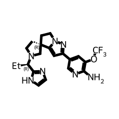 CC[C@H](c1ncc[nH]1)N1CC[C@@]2(CCn3nc(-c4cnc(N)c(OC(F)(F)F)c4)cc32)C1